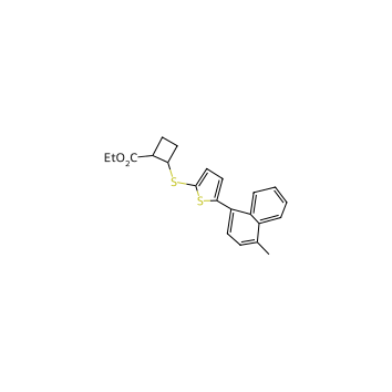 CCOC(=O)C1CCC1Sc1ccc(-c2ccc(C)c3ccccc23)s1